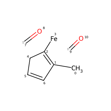 CC1=[C]([Fe])CC=C1.[C]=O.[C]=O